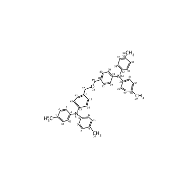 Cc1ccc(N(c2ccc(C)cc2)c2ccc(COCc3ccc(N(c4ccc(C)cc4)c4ccc(C)cc4)cc3)cc2)cc1